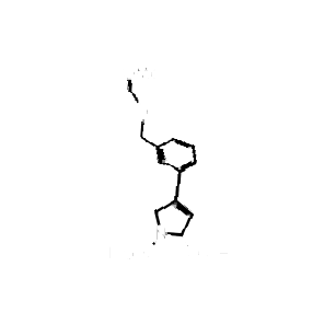 COCOCc1cccc(C2=C[C@H](C(=O)O)N(C(=O)O)C2)c1